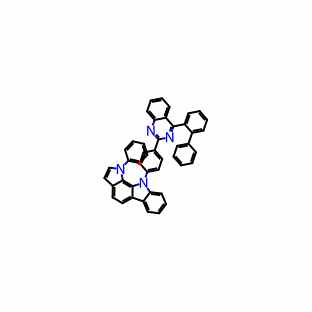 c1ccc(-c2ccccc2-c2nc(-c3ccc(-n4c5ccccc5c5ccc6ccn(-c7ccccc7)c6c54)cc3)nc3ccccc23)cc1